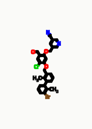 Cc1c(Br)cccc1-c1cccc(COc2cc(OCc3cncc(C#N)c3)c(C=O)cc2Cl)c1C